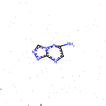 Nc1cnc2nncn2n1